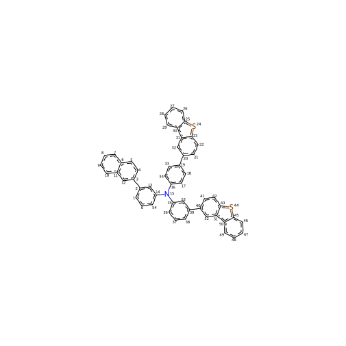 c1cc(-c2ccc3ccccc3c2)cc(N(c2ccc(-c3ccc4sc5ccccc5c4c3)cc2)c2cccc(-c3ccc4sc5ccccc5c4c3)c2)c1